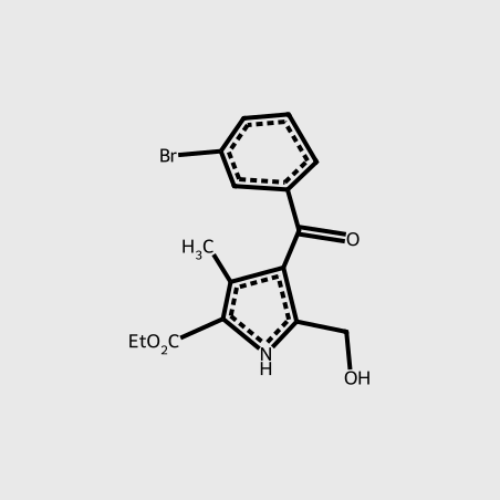 CCOC(=O)c1[nH]c(CO)c(C(=O)c2cccc(Br)c2)c1C